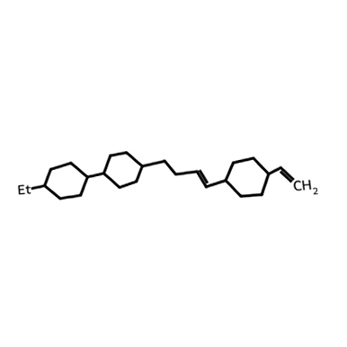 C=CC1CCC(C=CCCC2CCC(C3CCC(CC)CC3)CC2)CC1